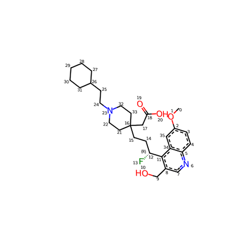 COc1ccc2ncc(CO)c([C@H](F)CCC3(CC(=O)O)CCN(CCC4CCCCC4)CC3)c2c1